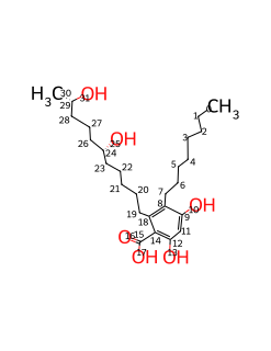 CCCCCCCCc1c(O)cc(O)c(C(=O)O)c1CCCCC[C@@H](O)CCC[C@H](C)O